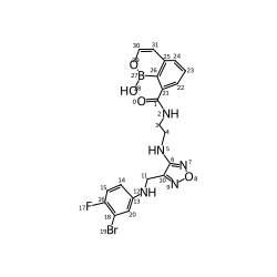 O=C(NCCNc1nonc1CNc1ccc(F)c(Br)c1)c1cccc2c1B(O)OC=C2